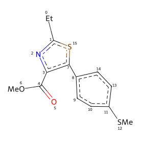 CCc1nc(C(=O)OC)c(-c2ccc(SC)cc2)s1